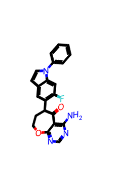 Nc1ncnc2c1C(=O)C(c1cc3ccn(-c4ccccc4)c3cc1F)CCO2